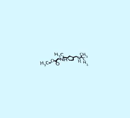 CCOC(=O)CN[C@@H](C)[C@@H]1CCC(CNC(C)C)C1